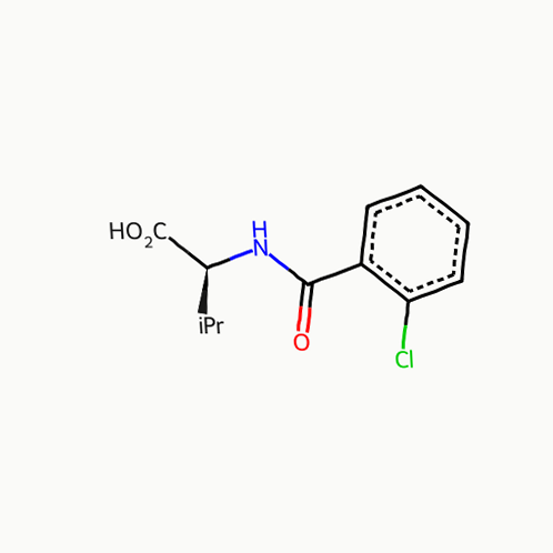 CC(C)[C@H](NC(=O)c1ccccc1Cl)C(=O)O